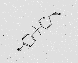 CCCCCCCCCc1ccc(C(C)(C)c2ccc(O)cc2)cc1